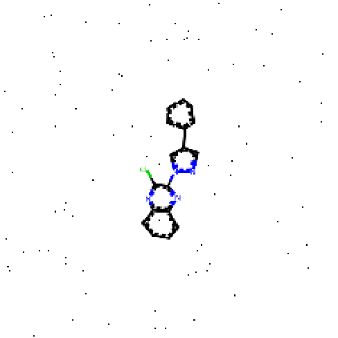 Clc1nc2ccccc2nc1-n1cc(-c2ccccc2)cn1